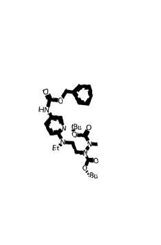 CCN(CCN(C(=O)OC(C)(C)C)N(C)C(=O)OC(C)(C)C)c1ccc(NC(=O)OCc2ccccc2)cn1